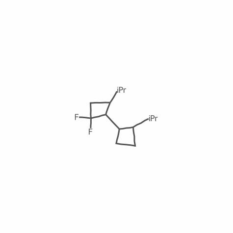 CC(C)C1CCC1C1C(C(C)C)CC1(F)F